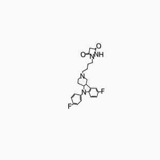 O=C1CC(=O)N(CCCCN2CCC3C(C2)c2cc(F)ccc2N3c2ccc(F)cc2)N1